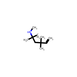 C=CC(C)(C)CC(C)(C)NC